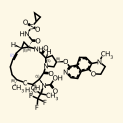 C[C@@H]1CC/C=C\[C@@H]2C[C@@]2(C(=O)NS(=O)(=O)C2CC2)NC(=O)[C@@H]2C[C@@H](Oc3nccc4c5c(ccc34)N(C)CCO5)CN2C(=O)[C@@H](N(C(=O)O)C(C)(C)C(F)(F)F)[C@H](C)C1